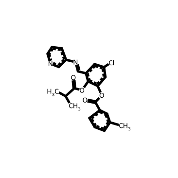 Cc1cccc(C(=O)Oc2cc(Cl)cc(C=Nc3cccnc3)c2OC(=O)C(C)C)c1